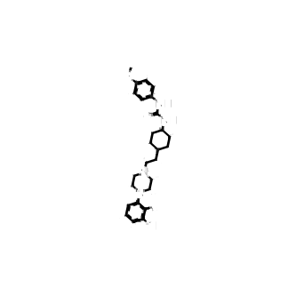 CSc1ccc(NC(=O)NC2CCC(CCN3CCN(c4cccc(Cl)c4Cl)CC3)CC2)cc1